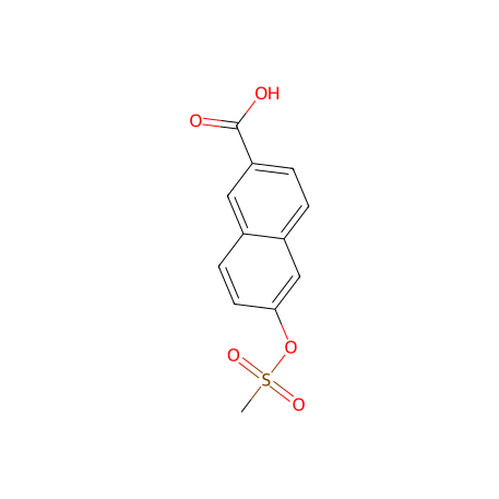 CS(=O)(=O)Oc1ccc2cc(C(=O)O)ccc2c1